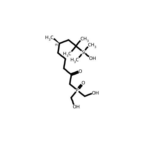 C[C@H](CCCC(=O)CP(=O)(CO)CO)CC(C)(C)[Si](C)(C)O